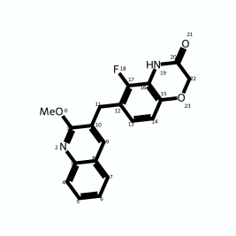 COc1nc2ccccc2cc1Cc1ccc2c(c1F)NC(=O)CO2